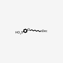 CCCCCCCCCCCCCCCCCOc1ccc(S(=O)(=O)O)cc1